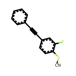 N#CSc1ccc(C#Cc2ccccc2)cc1F